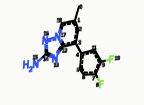 Cc1cc(-c2ccc(F)c(F)c2)c2nc(N)nn2c1